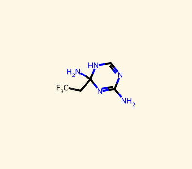 NC1=NC(N)(CC(F)(F)F)NC=N1